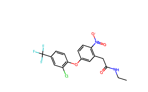 CCNC(=O)Cc1cc(Oc2ccc(C(F)(F)F)cc2Cl)ccc1[N+](=O)[O-]